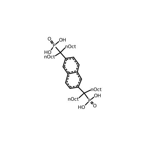 CCCCCCCCC(CCCCCCCC)(c1ccc2cc(C(CCCCCCCC)(CCCCCCCC)P(=O)(O)O)ccc2c1)P(=O)(O)O